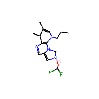 CCCN1C=C(C)C(C)C2=C1N1CN(OC(F)F)C=C1C=N2